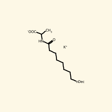 CCCCCCCCCCCCCCCCCC(=O)NC(C)C(=O)[O-].[K+]